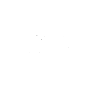 Cc1cn(-c2ccc(C(=O)Cl)cc2C(F)(F)F)cn1